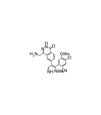 CN/C(=C(\C=N)c1ccc2c(=O)[nH]nc(CN)c2c1)c1cc(OC)c(Cl)cc1C#N